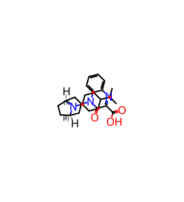 CC(C)C1CCC(N2[C@@H]3CC[C@H]2CC(n2c(=O)c(C(=O)O)nc4ccccc42)C3)CC1